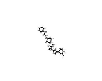 Cc1cc(-c2csc(NC(=O)Cc3cccc(OCCCN4CCCCC4)c3)c2)ccn1